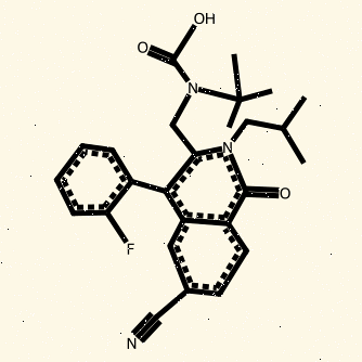 CC(C)Cn1c(CN(C(=O)O)C(C)(C)C)c(-c2ccccc2F)c2cc(C#N)ccc2c1=O